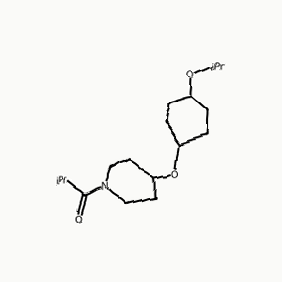 CC(C)OC1CCC(OC2CCN(C(=O)C(C)C)CC2)CC1